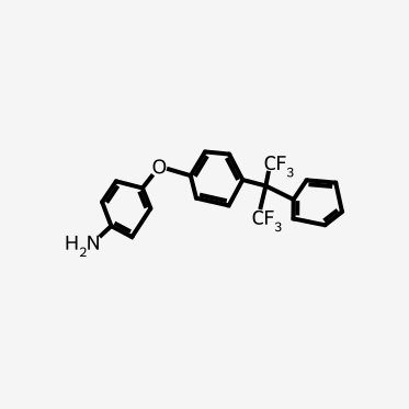 Nc1ccc(Oc2ccc(C(c3ccccc3)(C(F)(F)F)C(F)(F)F)cc2)cc1